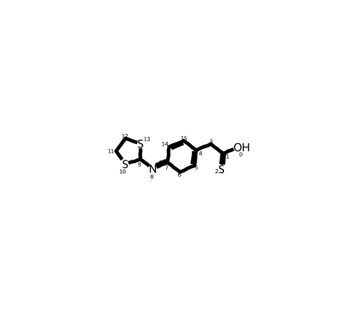 OC(=S)CC1=CCC(=NC2SCCS2)C=C1